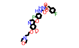 COc1cc2c(Oc3ccc(NC(=O)NS(=O)(=O)Cc4ccc(F)cc4)cc3F)ccnc2cc1OCCCN1CCOCC1